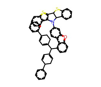 C1=CC(c2ccccc2)CC=C1C(C1=CC=C(c2ccccc2)CC1)c1cccc2oc3cc(N4c5c(sc6ccccc56)C5Sc6ccccc6C54)ccc3c12